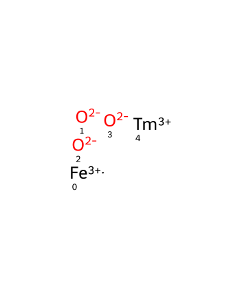 [Fe+3].[O-2].[O-2].[O-2].[Tm+3]